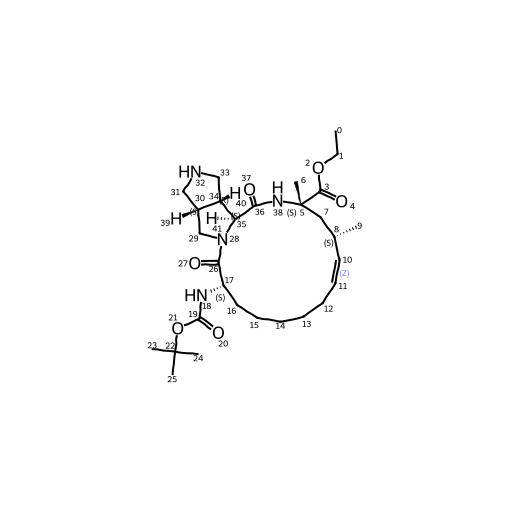 CCOC(=O)[C@]1(C)C[C@H](C)/C=C\CCCCC[C@H](NC(=O)OC(C)(C)C)C(=O)N2C[C@@H]3CNC[C@@H]3[C@H]2C(=O)N1